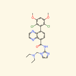 CCN(CC)Cn1ccnc1NC(=O)c1ccc(-c2c(Cl)c(OC)cc(OC)c2Cl)c2nccnc12